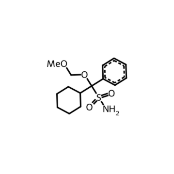 COCOC(c1ccccc1)(C1CCCCC1)S(N)(=O)=O